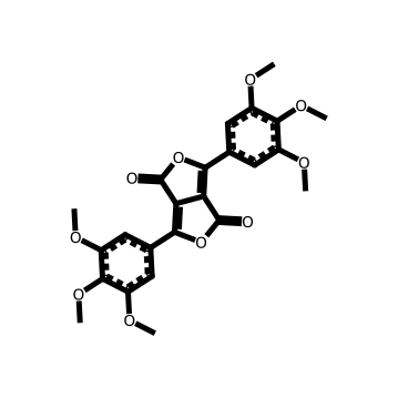 COc1cc(C2=C3C(=O)OC(c4cc(OC)c(OC)c(OC)c4)=C3C(=O)O2)cc(OC)c1OC